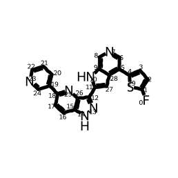 Fc1ccc(-c2cncc3[nH]c(-c4n[nH]c5ccc(-c6cccnc6)nc45)cc23)s1